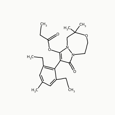 CCC(=O)Oc1c(-c2c(CC)cc(C)cc2CC)c(=O)n2n1CC(C)(C)OCC2